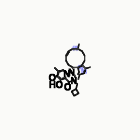 CC/C=C(C)\C1=C(/CC)C(N2CN(CC3CCC3)C(=O)c3c(O)c(=O)c(C)cn32)CCC=C/C=C(/C)CCC1